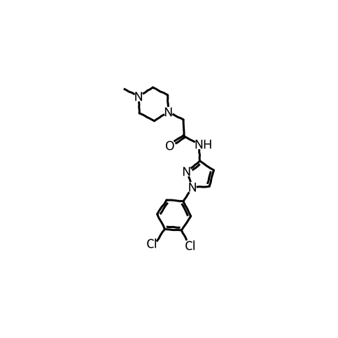 CN1CCN(CC(=O)Nc2ccn(-c3ccc(Cl)c(Cl)c3)n2)CC1